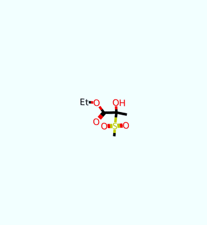 CCOC(=O)C(C)(O)S(C)(=O)=O